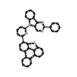 c1ccc(-c2ncc3c(n2)c2ccccc2n3-c2cccc(-c3ccc4c5ccccc5c5cccc6sc3c4c65)n2)cc1